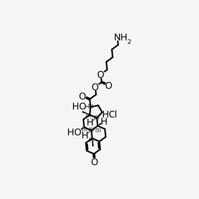 C[C@]12C=CC(=O)C=C1CC[C@@H]1[C@@H]2[C@@H](O)C[C@@]2(C)[C@H]1CC[C@]2(O)C(=O)COC(=O)OCCCCCN.Cl